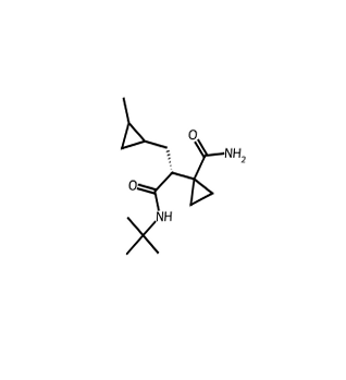 CC1CC1C[C@@H](C(=O)NC(C)(C)C)C1(C(N)=O)CC1